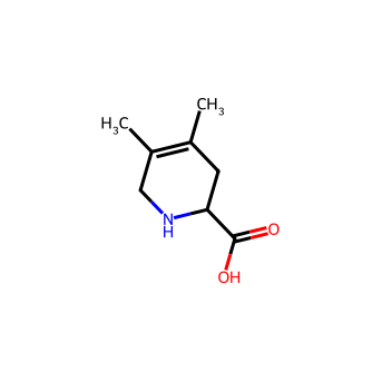 CC1=C(C)CC(C(=O)O)NC1